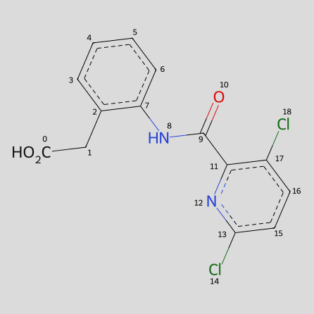 O=C(O)Cc1ccccc1NC(=O)c1nc(Cl)ccc1Cl